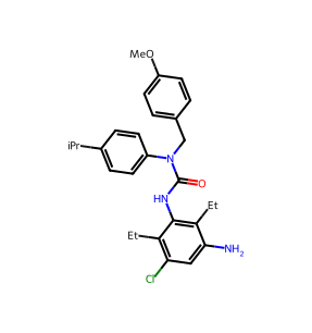 CCc1c(N)cc(Cl)c(CC)c1NC(=O)N(Cc1ccc(OC)cc1)c1ccc(C(C)C)cc1